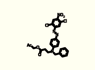 CC(=O)COC(=O)CCN(Cc1ccccc1)c1ccc(/N=N/c2cc(Cl)c([N+](=O)[O-])cc2Cl)cc1